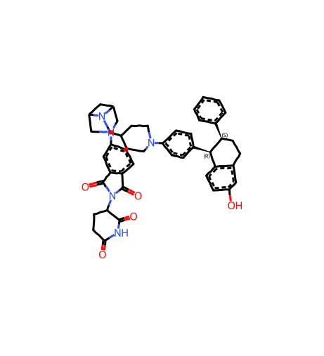 O=C1CCC(N2C(=O)c3ccc(N4CC5CC(C4)N5CC4CCN(c5ccc([C@@H]6c7ccc(O)cc7CC[C@@H]6c6ccccc6)cc5)CC4)cc3C2=O)C(=O)N1